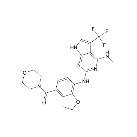 CNc1nc(Nc2ccc(C(=O)N3CCOCC3)c3c2OCC3)nc2[nH]cc(C(F)(F)F)c12